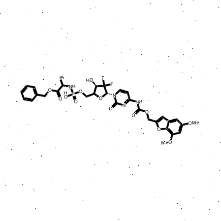 COc1cc(OC)c2oc(COC(=O)Nc3ccn([C@@H]4OC(COP(=O)(O)NC(C(=O)OCc5ccccc5)C(C)C)[C@@H](O)C4(F)F)c(=O)n3)cc2c1